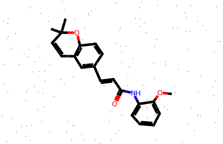 COc1ccccc1NC(=O)/C=C/c1ccc2c(c1)C=CC(C)(C)O2